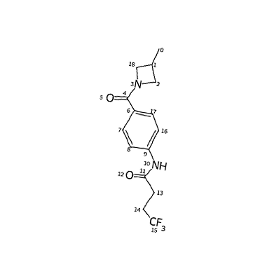 CC1CN(C(=O)c2ccc(NC(=O)CCC(F)(F)F)cc2)C1